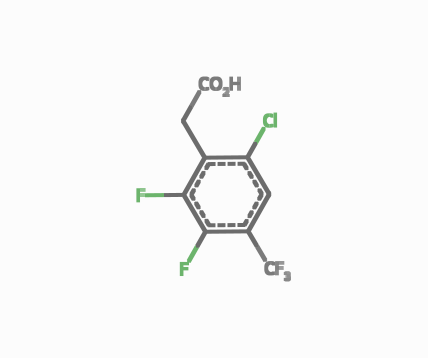 O=C(O)Cc1c(Cl)cc(C(F)(F)F)c(F)c1F